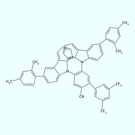 Cc1ccc(-c2ccc3c(c2)c2ccccc2n3-c2cc(C#N)c(-c3cc(C(F)(F)F)cc(C(F)(F)F)c3)cc2-n2c3ccccc3c3cc(-c4ccc(C)cc4C)ccc32)c(C)c1